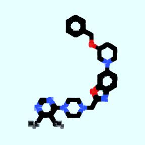 Cc1ncnc(N2CCN(Cc3nc4ccc(N5CCC[C@H](OCc6ccccc6)C5)cc4o3)CC2)c1C